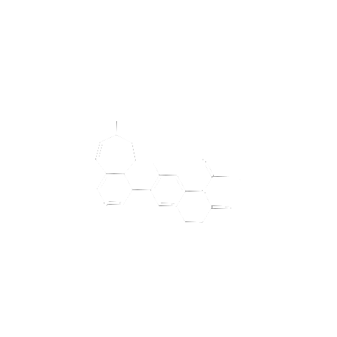 CC(=N)N1C(=N)CCc2cc(C3C=NC=C4C=CC(F)CCC43)c(F)cc21